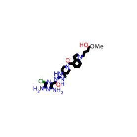 COC(O)CCCn1ccc2c(C(=O)N3CCC4(CC3)CN/C(=N\C(=O)c3nc(Cl)c(N)nc3N)N4)cccc21